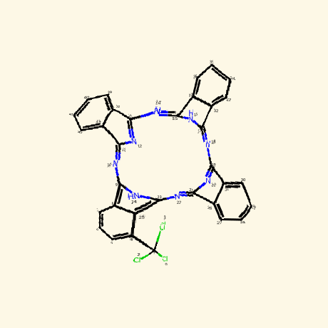 ClC(Cl)(Cl)c1cccc2c3nc4nc(nc5[nH]c(nc6nc(nc([nH]3)c12)-c1ccccc1-6)c1ccccc51)-c1ccccc1-4